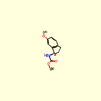 CCCOc1ccc2c(c1)[C@H](NC(=O)OC(C)(C)C)CC2